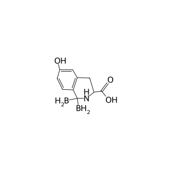 BC1(B)NC(C(=O)O)Cc2cc(O)ccc21